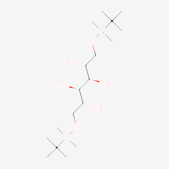 CC(C)(C)[Si](C)(C)OC[C@@H](O)[C@@H](O)[C@H](O)[C@H](O)CO[Si](C)(C)C(C)(C)C